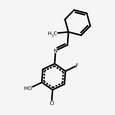 CC1(C=Nc2cc(O)c(Cl)cc2F)C=CC=CC1